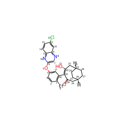 CCc1ccc(Oc2cnc3cc(Cl)ccc3n2)cc1/C1=C(\O)C[C@H]2CC[C@H](CC2)CC1=O